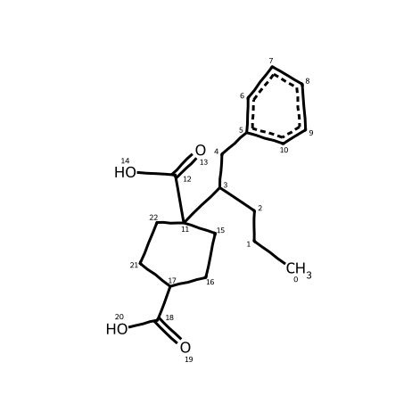 CCCC(Cc1ccccc1)C1(C(=O)O)CCC(C(=O)O)CC1